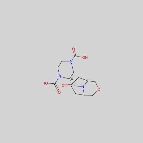 O=C1CC2COCC(C1)N2C[C@H]1CN(C(=O)O)CCN1C(=O)O